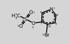 CS(=O)(=O)Oc1cnccc1Br